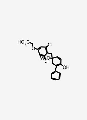 COC1(Cc2c(Cl)cc(OCC(=O)O)cc2Cl)C=CC(O)=C(c2ccccc2)C1